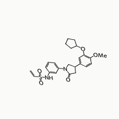 C=CS(=O)(=O)Nc1cccc(N2CC(c3ccc(OC)c(OC4CCCC4)c3)CC2=O)c1